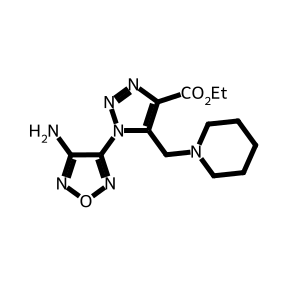 CCOC(=O)c1nnn(-c2nonc2N)c1CN1CCCCC1